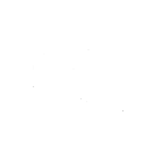 Cc1ccc(NC(=O)c2ccc(CN3CCN(C)CC3)cc2Br)cc1Nc1nccc(-c2cccnc2)n1